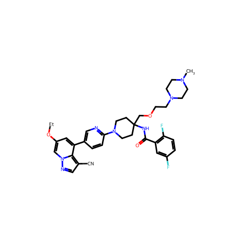 CCOc1cc(-c2ccc(N3CCC(COCCN4CCN(C)CC4)(NC(=O)c4cc(F)ccc4F)CC3)nc2)c2c(C#N)cnn2c1